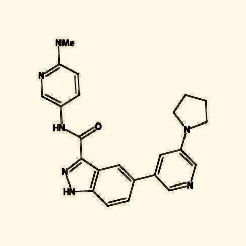 CNc1ccc(NC(=O)c2n[nH]c3ccc(-c4cncc(N5CCCC5)c4)cc23)cn1